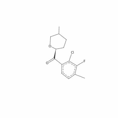 Cc1ccc(C(=O)[C@@H]2CCC(C)CO2)c(Cl)c1F